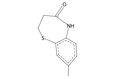 Cc1ccc2c(c1)SCCC(=O)N2